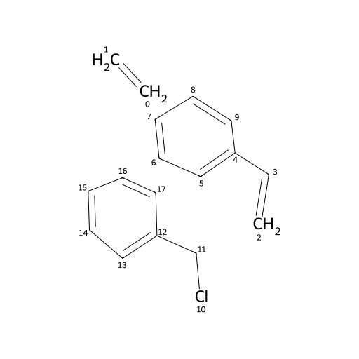 C=C.C=Cc1ccccc1.ClCc1ccccc1